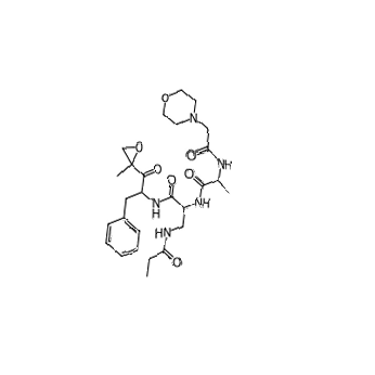 CCC(=O)NCC(NC(=O)C(C)NC(=O)CN1CCOCC1)C(=O)NC(Cc1ccccc1)C(=O)C1(C)CO1